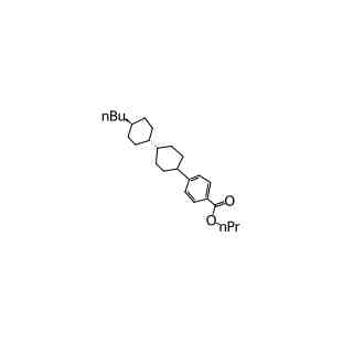 CCCC[C@H]1CC[C@H](C2CCC(c3ccc(C(=O)OCCC)cc3)CC2)CC1